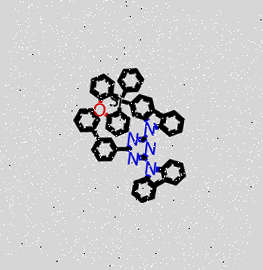 c1ccc(-c2cccc(-c3nc(-n4c5ccccc5c5ccccc54)nc(-n4c5ccccc5c5ccc([Si]6(c7ccccc7)c7ccccc7Oc7ccccc76)cc54)n3)c2)cc1